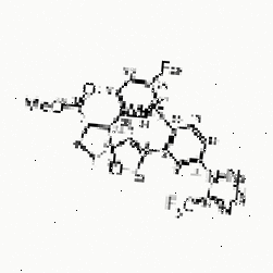 COC(=O)[C@H]1CC[C@@]2(C=C(c3cc(-n4nnnc4C(F)(F)F)ccc3SC)CO2)[C@@H]1c1ccc(F)cc1